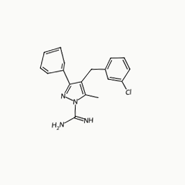 Cc1c(Cc2cccc(Cl)c2)c(-c2ccccc2)nn1C(=N)N